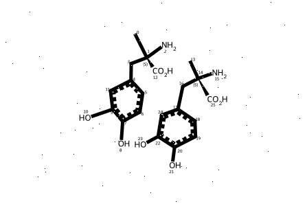 C[C@](N)(Cc1ccc(O)c(O)c1)C(=O)O.C[C@](N)(Cc1ccc(O)c(O)c1)C(=O)O